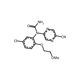 COCCOc1ccc(Cl)cc1N(C(N)=O)c1cnc(C#N)cn1